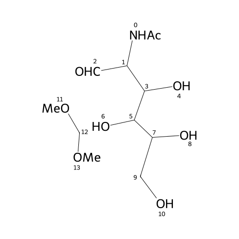 CC(=O)NC(C=O)C(O)C(O)C(O)CO.COCOC